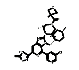 C[C@@H]1CN(C(=O)C2(C)COC2)C[C@@H](C)N1c1nc2cc(-c3noc(=O)[nH]3)nc(-c3cncc(Cl)c3)c2n1C[C@H]1CC[C@H](C)CC1